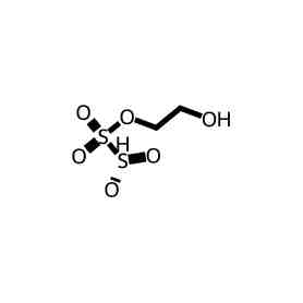 O=[SH](=O)S(=O)(=O)OCCO